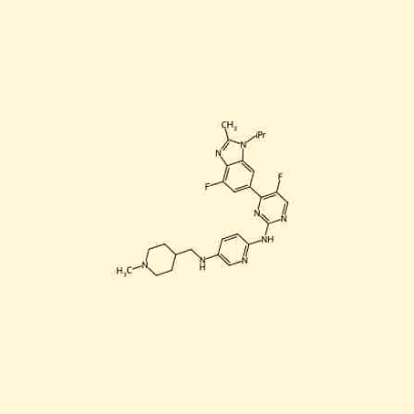 Cc1nc2c(F)cc(-c3nc(Nc4ccc(NCC5CCN(C)CC5)cn4)ncc3F)cc2n1C(C)C